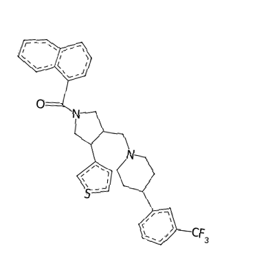 O=C(c1cccc2ccccc12)N1CC(CN2CCC(c3cccc(C(F)(F)F)c3)CC2)C(c2ccsc2)C1